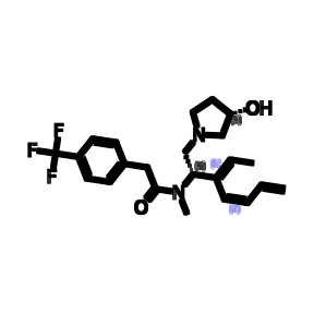 C=C/C=C\C(=C/C)[C@@H](CN1CC[C@H](O)C1)N(C)C(=O)Cc1ccc(C(F)(F)F)cc1